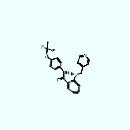 O=C(Nc1ccc(OC(F)(F)F)cc1)c1ccccc1NCc1ccncc1